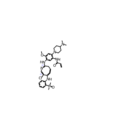 C=CC(=O)Nc1cc(N/C2=N/C=C(/Cl)C(Nc3ccccc3P(C)(C)=O)=C=CC2)c(OC)cc1N1CCC(N(C)C)CC1